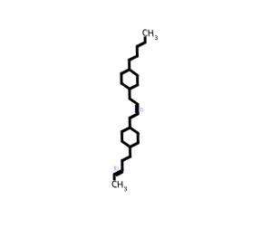 C/C=C/CCC1CCC(C/C=C\CC2CCC(CCCCC)CC2)CC1